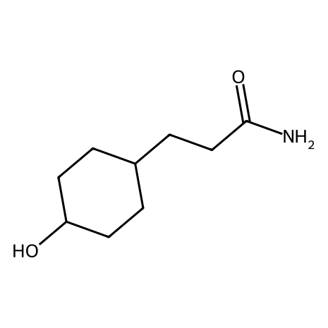 NC(=O)CCC1CCC(O)CC1